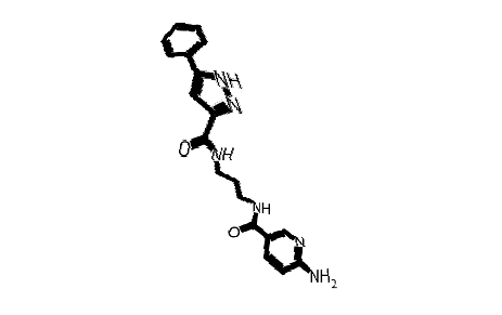 Nc1ccc(C(=O)NCCCNC(=O)c2cc(-c3ccccc3)[nH]n2)cn1